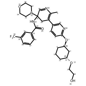 CC1=C(c2ccc(O[C@@H]3CCC[C@@H](OCCO)C3)nc2)CC(NC(=O)c2cccc(C(F)(F)F)c2)(N2CCOCC2)C=N1